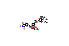 CCCOc1c(OC(CCC)c2ccc3c(c2)C(=O)NC3=O)cc([C@@H]2CC[C@@H](c3cc(OC)c(OC)c(OC)c3)O2)cc1S(C)(=O)=O